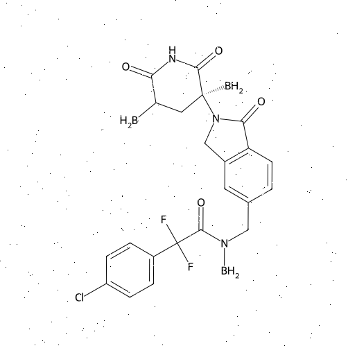 BC1C[C@](B)(N2Cc3cc(CN(B)C(=O)C(F)(F)c4ccc(Cl)cc4)ccc3C2=O)C(=O)NC1=O